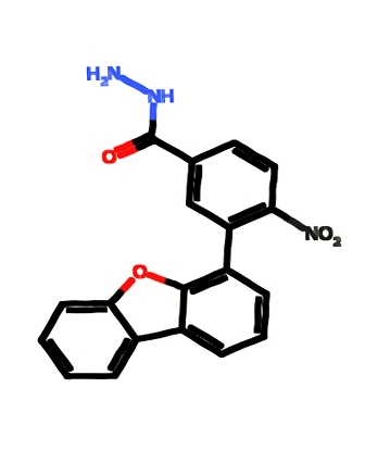 NNC(=O)c1ccc([N+](=O)[O-])c(-c2cccc3c2oc2ccccc23)c1